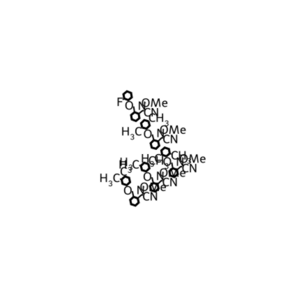 CON=C(C#N)c1ccccc1COc1c(C)cccc1C.CON=C(C#N)c1ccccc1COc1cc(C)cc(C)c1.CON=C(C#N)c1ccccc1COc1cc(C)ccc1C.CON=C(C#N)c1ccccc1COc1ccc(C)c(C)c1.CON=C(C#N)c1ccccc1COc1ccccc1F